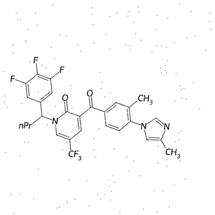 CCCC(c1cc(F)c(F)c(F)c1)n1cc(C(F)(F)F)cc(C(=O)c2ccc(-n3cnc(C)c3)c(C)c2)c1=O